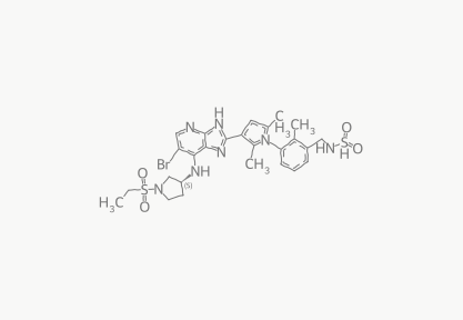 CCS(=O)(=O)N1CC[C@H](Nc2c(Br)cnc3[nH]c(-c4cc(C)n(-c5cccc(CN[SH](=O)=O)c5C)c4C)nc23)C1